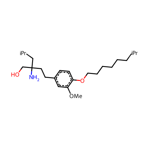 COc1cc(CCC(N)(CO)CC(C)C)ccc1OCCCCCCC(C)C